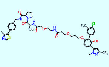 Cc1ncsc1-c1ccc(CNC(=O)C2CCCN2C(=O)C(NC(=O)COCCNC(=O)CCOCCCOc2ccc(-c3cc(C(F)(F)F)nn3C)c(O)c2-c2ccc(Cl)c(C(F)(F)F)c2)C(C)(C)C)cc1